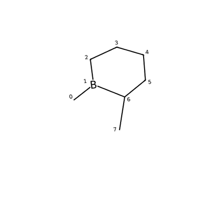 CB1CCCCC1C